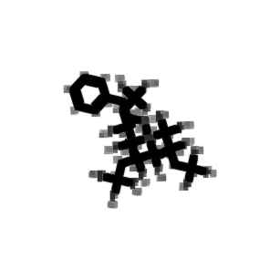 FC(F)(F)CC(F)(F)[C](F)(F)[Sn]([O]CCc1ccccc1)([C](F)(F)C(F)(F)CC(F)(F)F)[C](F)(F)C(F)(F)CC(F)(F)F